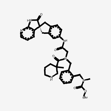 CN(Cc1ccccc1CN(CC(=O)Nc1ccc2c(c1)C[C@@]1(C2)C(=O)Nc2ncccc21)C(=O)C1(C)CCCNC1)C(=O)OC(C)(C)C